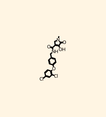 CN1CC(C(=O)NCc2ccc(Oc3ccc(Cl)cc3Cl)cc2)=C(O)C1=O